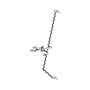 CCCCCCC/C=C\CCCCCCCC(=O)O[C@H](COC(=O)CCCCCCCCCCCCCCCCCCCCC)COP(=O)(O)OC[C@@H](O)CO